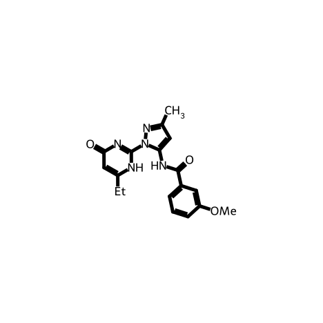 CCc1cc(=O)nc(-n2nc(C)cc2NC(=O)c2cccc(OC)c2)[nH]1